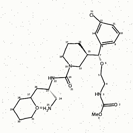 COC(=O)NCCO[C@@H](c1cccc(Cl)c1)[C@@H]1CCCN(C(=O)N[C@H](CN)CC2CCCCO2)C1